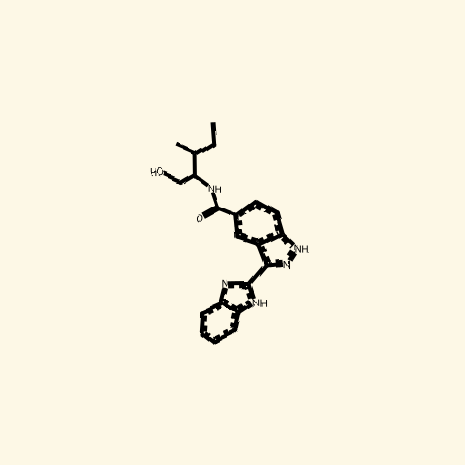 CCC(C)C(CO)NC(=O)c1ccc2[nH]nc(-c3nc4ccccc4[nH]3)c2c1